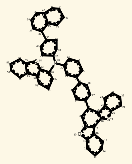 c1cc(-c2ccc(-c3cc4oc5ccccc5c4c4sc5ccccc5c34)cc2)cc(N(c2ccc(-c3cccc4ccccc34)cc2)c2cccc3c2sc2ccccc23)c1